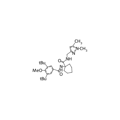 COc1c(C(C)(C)C)cc(C(=O)NC2(C(=O)NCc3cc(C)n(C)n3)CCCCC2)cc1C(C)(C)C